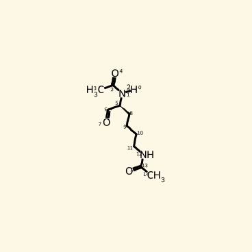 [2H]N(C(C)=O)[C@H]([C]=O)CCCCNC(C)=O